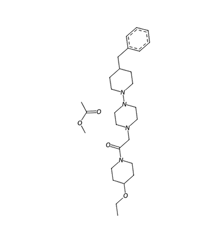 CCOC1CCN(C(=O)CN2CCN(N3CCC(Cc4ccccc4)CC3)CC2)CC1.COC(C)=O